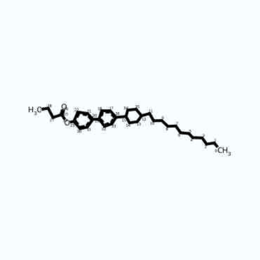 CCCCCCCCCCCCC1CCC(c2ccc(-c3ccc(OC(=O)CCC)cc3)cc2)CC1